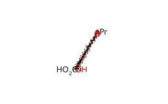 CCCOCCCCCCCCCCCCCCCCCCC=CCC(O)C(=O)O